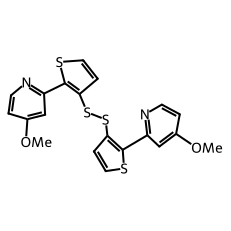 COc1ccnc(-c2sccc2SSc2ccsc2-c2cc(OC)ccn2)c1